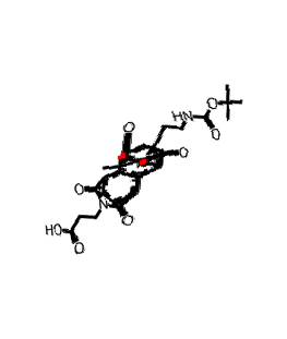 CC(C)(C)OC(=O)NCCn1c(=O)c2ccc(c1=O)c1c3ccc(c(=O)n(CCC(=O)O)c3=O)c21